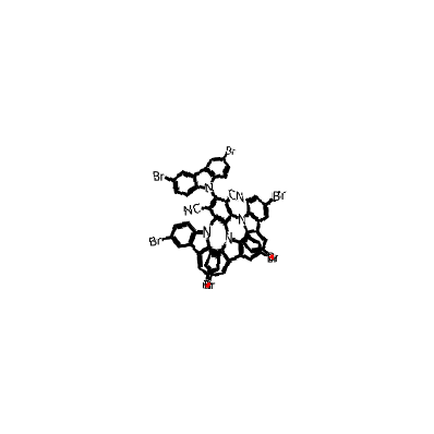 N#Cc1c(-n2c3ccc(Br)cc3c3cc(Br)ccc32)c(C#N)c(-n2c3ccc(Br)cc3c3cc(Br)ccc32)c(-n2c3ccc(Br)cc3c3cc(Br)ccc32)c1-n1c2ccc(Br)cc2c2cc(Br)ccc21